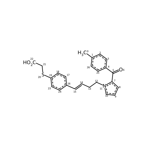 Cc1ccc(C(=O)c2cccn2CC/C=C/c2ccc(SCC(=O)O)cc2)cc1